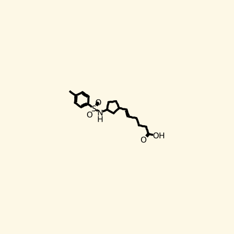 Cc1ccc(S(=O)(=O)NC2CCC(C=CCCCC(=O)O)C2)cc1